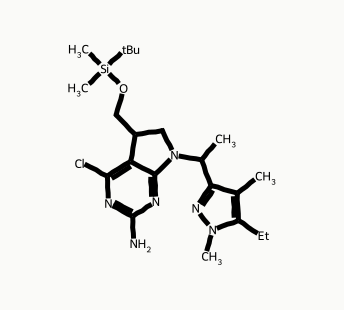 CCc1c(C)c(C(C)N2CC(CO[Si](C)(C)C(C)(C)C)c3c(Cl)nc(N)nc32)nn1C